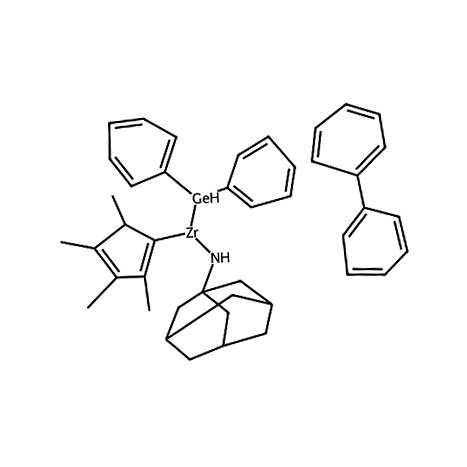 CC1=C(C)C(C)[C]([Zr]([NH]C23CC4CC(CC(C4)C2)C3)[GeH]([c]2ccccc2)[c]2ccccc2)=C1C.c1ccc(-c2ccccc2)cc1